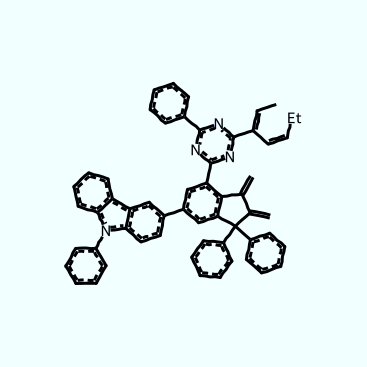 C=C1C(=C)C(c2ccccc2)(c2ccccc2)c2cc(-c3ccc4c(c3)c3ccccc3n4-c3ccccc3)cc(-c3nc(C(/C=C\CC)=C/C)nc(-c4ccccc4)n3)c21